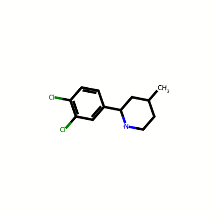 CC1CC[N]C(c2ccc(Cl)c(Cl)c2)C1